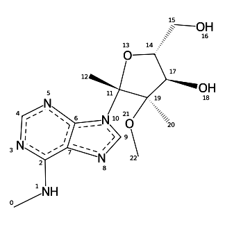 CNc1ncnc2c1ncn2[C@]1(C)O[C@H](CO)[C@@H](O)[C@@]1(C)OC